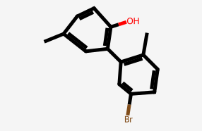 Cc1ccc(O)c(-c2cc(Br)ccc2C)c1